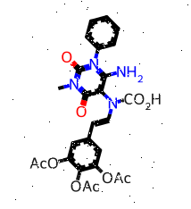 CC(=O)Oc1cc(C=CN(C(=O)O)c2c(N)n(-c3ccccc3)c(=O)n(C)c2=O)cc(OC(C)=O)c1OC(C)=O